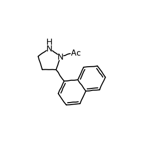 CC(=O)N1NCCC1c1cccc2ccccc12